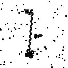 CCCCCCCCCCCCCCCCOP(=O)([O-])[O-].[Zn+2]